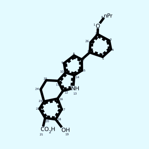 CCCOc1cccc(-c2ccc3c4c([nH]c3c2)-c2cc(O)c(C(=O)O)cc2CC4)c1